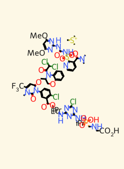 CC(C)OC(=O)c1cc(-n2c(=O)cc(C(F)(F)F)n(C)c2=O)ccc1Cl.CC1COc2ccccc2N1C(=O)C(Cl)Cl.CCNc1nc(Cl)nc(NC(C)C)n1.COc1cc(OC)nc(NC(=O)NS(=O)(=O)c2ncccc2C(=O)N(C)C)n1.C[S+](C)C.O=C(O)CNCP(=O)([O-])O